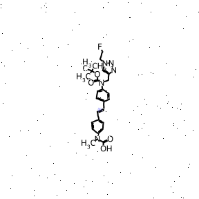 CN(C(=O)O)c1ccc(/C=C/c2ccc(N(Cc3cn(CCF)nn3)C(=O)OC(C)(C)C)cc2)cc1